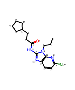 CCCn1c(NC(=O)CCC2CCCC2)nc2ccc(Cl)nc21